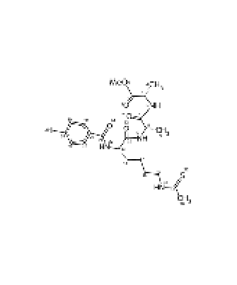 COC(=O)[C@H](C)NC(=O)[C@H](C)NC(=O)[C@H](CCCCNC(C)=S)NC(=O)c1ccc(I)cc1